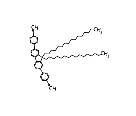 C#Cc1ccc(-c2ccc3c(c2)C(CCCCCCCCCCCCCCCC)(CCCCCCCCCCCCCCCC)c2cc(-c4ccc(C#C)cc4)ccc2-3)cc1